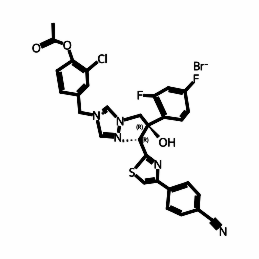 CC(=O)Oc1ccc(C[n+]2cnn(C[C@](O)(c3ccc(F)cc3F)[C@@H](C)c3nc(-c4ccc(C#N)cc4)cs3)c2)cc1Cl.[Br-]